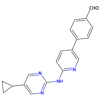 O=Cc1ccc(-c2ccc(Nc3ncc(C4CC4)cn3)nc2)cc1